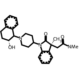 CNC(=O)C[C@]1(C)C(=O)N(C2CCN(C3c4ccccc4CC[C@H]3O)CC2)c2ccccc21